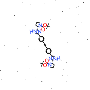 CC(C)(C)OC(=O)N1CCC[C@H]1c1nc(-c2ccc(C#Cc3ccc(-c4c[nH]c([C@@H]5CCCN5C(=O)OC(C)(C)C)n4)cc3)cc2)c[nH]1